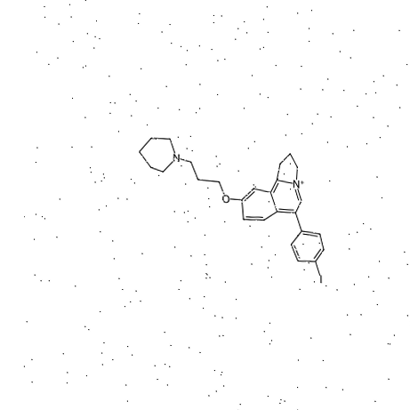 Ic1ccc(-c2c[n+]3c(c4cc(OCCCN5CCCCC5)ccc24)CCC3)cc1